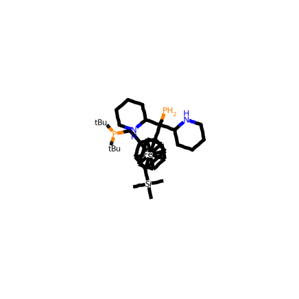 CC(C)(C)P(C[C]12[CH]3[C]4([Si](C)(C)C)[CH]5[C]1(C(P)(C1CCCCN1)C1CCCCN1)[Fe]35241678[CH]2[CH]1[CH]6[CH]7[CH]28)C(C)(C)C